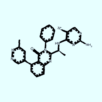 Cc1cc(-c2cccc3nc([C@H](C)Nc4nc(N)ncc4C#N)n(-c4ccccc4)c(=O)c23)cnn1